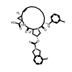 O=C1N[C@]2(C(=O)O)C[C@H]2/C=C\CCCCC[C@H](Nc2cccc(F)c2)C(=O)N2C[C@H](OC(=O)N3Cc4cccc(F)c4C3)C[C@@H]12